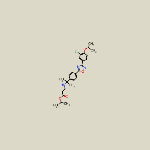 CC(C)OC(=O)CCNC(C)(C)c1ccc(-c2nc(-c3ccc(OC(C)C)c(Cl)c3)no2)cc1